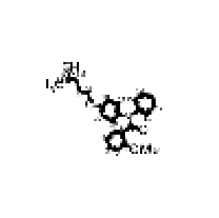 COc1ccccc1C(=O)N(c1ccccc1)c1ccc(OCCCN(C)C)cc1